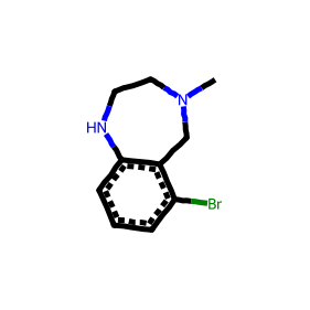 CN1CCNc2cccc(Br)c2C1